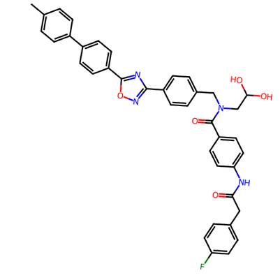 Cc1ccc(-c2ccc(-c3nc(-c4ccc(CN(CC(O)O)C(=O)c5ccc(NC(=O)Cc6ccc(F)cc6)cc5)cc4)no3)cc2)cc1